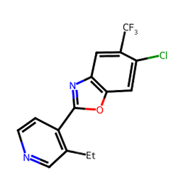 CCc1cnccc1-c1nc2cc(C(F)(F)F)c(Cl)cc2o1